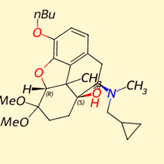 CCCCOc1ccc2c3c1O[C@H]1C(OC)(OC)CC[C@@](O)([C@H](N(C)CC4CC4)C2)C31C